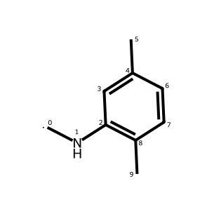 [CH2]Nc1cc(C)ccc1C